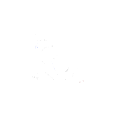 COC1=CC(c2ccc(Br)s2)=N/C1=C\c1[nH]c(C)cc1C